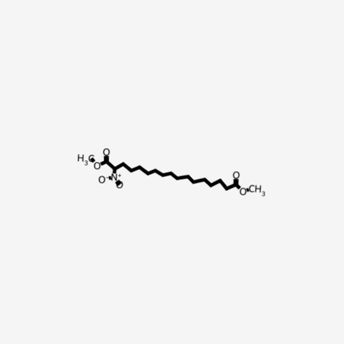 COC(=O)CCCCCCCCCCCCCCC(C(=O)OC)[N+](=O)[O-]